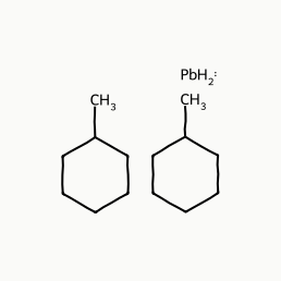 CC1CCCCC1.CC1CCCCC1.[PbH2]